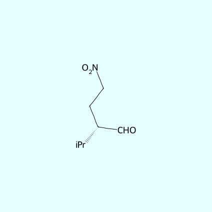 CC(C)[C@@H](C=O)CC[N+](=O)[O-]